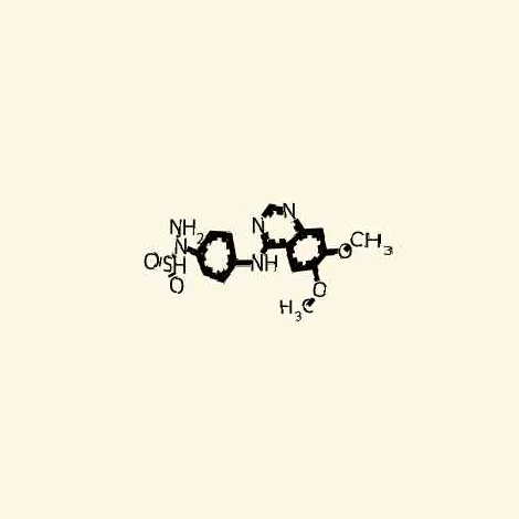 COc1cc2ncnc(Nc3ccc(N(N)[SH](=O)=O)cc3)c2cc1OC